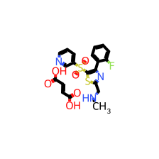 CNCc1nc(-c2ccccc2F)c(S(=O)(=O)c2cccnc2)s1.O=C(O)/C=C/C(=O)O